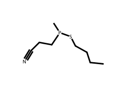 CCCCSP(C)CCC#N